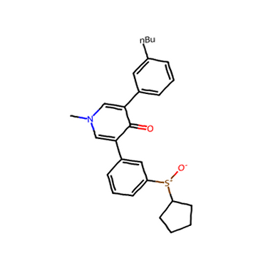 CCCCc1cccc(-c2cn(C)cc(-c3cccc([S+]([O-])C4CCCC4)c3)c2=O)c1